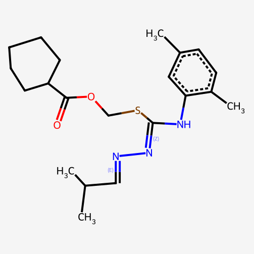 Cc1ccc(C)c(N/C(=N/N=C/C(C)C)SCOC(=O)C2CCCCC2)c1